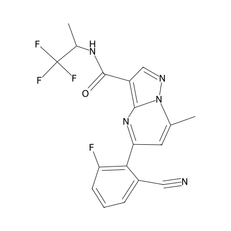 Cc1cc(-c2c(F)cccc2C#N)nc2c(C(=O)NC(C)C(F)(F)F)cnn12